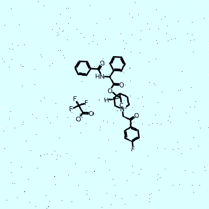 O=C(C[N+]12CCC(CC1)[C@@H](OC(=O)C(NC(=O)c1ccccc1)c1ccccc1)C2)c1ccc(F)cc1.O=C([O-])C(F)(F)F